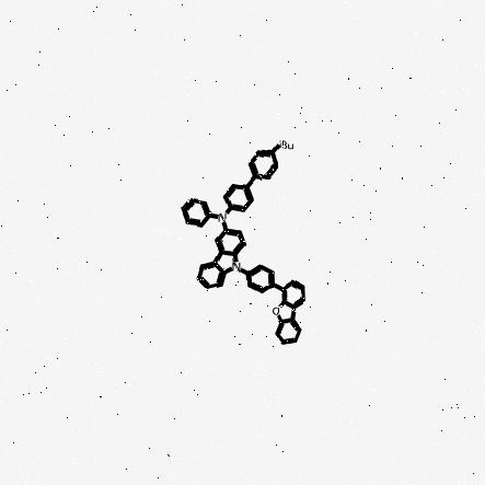 CCC(C)c1ccc(-c2ccc(N(c3ccccc3)c3ccc4c(c3)c3ccccc3n4-c3ccc(-c4cccc5c4oc4ccccc45)cc3)cc2)cc1